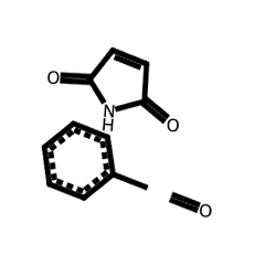 C=O.Cc1ccccc1.O=C1C=CC(=O)N1